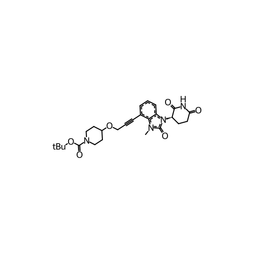 Cn1c(=O)n([C@@H]2CCC(=O)NC2=O)c2cccc(C#CCOC3CCN(C(=O)OC(C)(C)C)CC3)c21